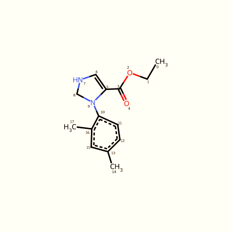 CCOC(=O)C1=CNCN1c1ccc(C)cc1C